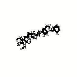 CCN1C(=O)/C(=C\c2cc3sc(/N=N/c4ccc5c(c4)CCN5Cc4ccccc4)nc3s2)N(CC)C1=S